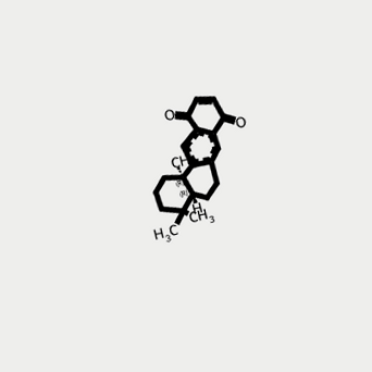 CC1(C)CCC[C@@]2(C)c3cc4c(cc3CC[C@H]12)C(=O)C=CC4=O